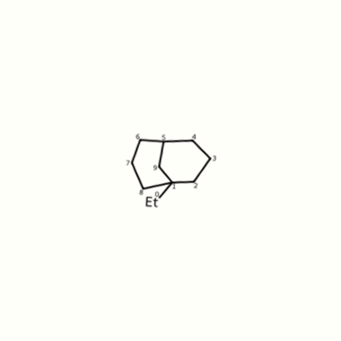 CCC12CCCC(CCC1)C2